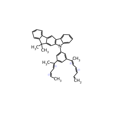 C=C/C=C\C=C(/C)c1cc(/C(C)=C/C=C\C)cc(-n2c3ccccc3c3cc4c(cc32)C(C)(C)c2ccccc2-4)c1